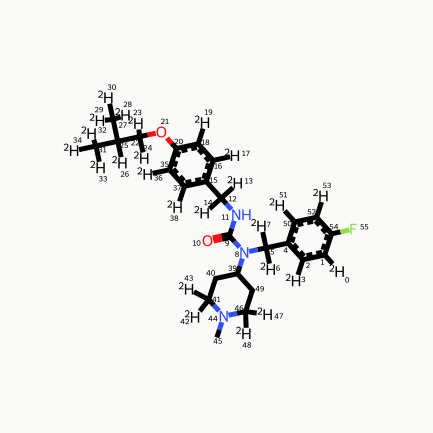 [2H]c1c([2H])c(C([2H])([2H])N(C(=O)NC([2H])([2H])c2c([2H])c([2H])c(OC([2H])([2H])C([2H])(C([2H])([2H])[2H])C([2H])([2H])[2H])c([2H])c2[2H])C2CC([2H])([2H])N(C)C([2H])([2H])C2)c([2H])c([2H])c1F